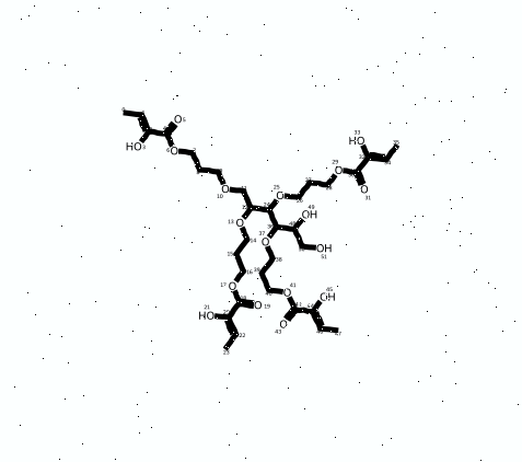 CC=C(O)C(=O)OCCCOCC(OCCCOC(=O)C(O)=CC)C(OCCCOC(=O)C(O)=CC)C(OCCCOC(=O)C(O)=CC)C(O)CO